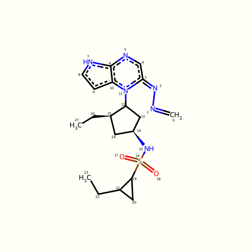 C=N/N=c1/cnc2[nH]ccc2n1C1C[C@@H](NS(=O)(=O)C2CC2CC)C[C@H]1CC